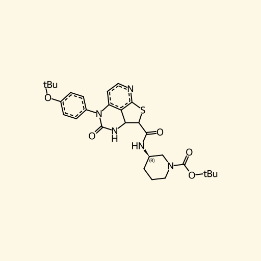 CC(C)(C)OC(=O)N1CCC[C@@H](NC(=O)C2Sc3nccc4c3C2NC(=O)N4c2ccc(OC(C)(C)C)cc2)C1